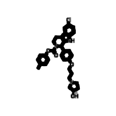 Cc1ccc(OC(=O)N2CCc3c([nH]c4ccc(Cl)cc34)C2c2ccc(OCCCN3CC[C@@H](O)C3)cc2)cc1